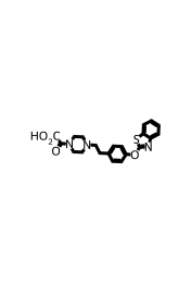 O=C(O)C(=O)N1CCN(CCc2ccc(Oc3nc4ccccc4s3)cc2)CC1